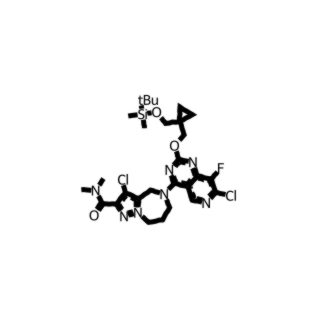 CN(C)C(=O)c1nn2c(c1Cl)CN(c1nc(OCC3(CO[Si](C)(C)C(C)(C)C)CC3)nc3c(F)c(Cl)ncc13)CCC2